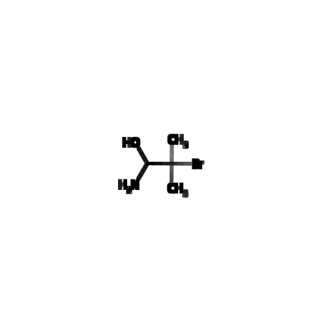 CC(C)(Br)C(N)O